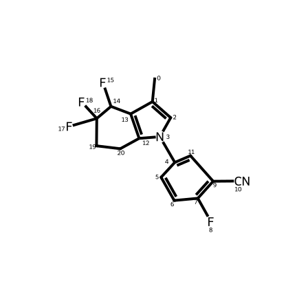 Cc1cn(-c2ccc(F)c(C#N)c2)c2c1C(F)C(F)(F)CC2